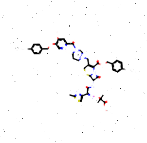 BOc1cc(C(=O)N2CC[N+]3(CC4=C(C(=O)OCc5ccc(OC)cc5)N5C(=O)[C@@H](NC(=O)/C(=N\OC(C)(C)C(=O)OC(C)(C)C)c6csc(C)n6)[C@H]5[S+]([O-])C4)CCC2CC3)[n+]([O-])cc1OCc1ccc(OC)cc1